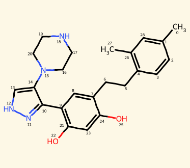 Cc1ccc(CCc2cc(-c3n[nH]cc3N3CCNCC3)c(O)cc2O)c(C)c1